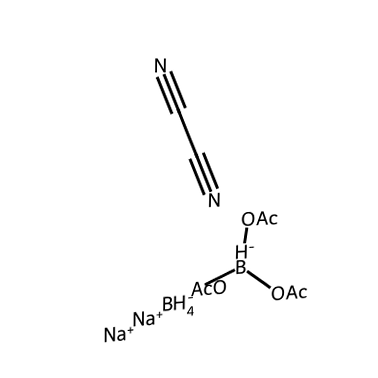 CC(=O)O[BH-](OC(C)=O)OC(C)=O.N#CC#N.[BH4-].[Na+].[Na+]